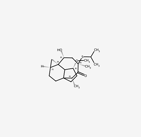 CO[C@@H]1CCC23CC[C@H]4C[C@@]4(C12)[C@H](O)C[C@@](C)(SC(C)C)C(=O)[C@@H]3C